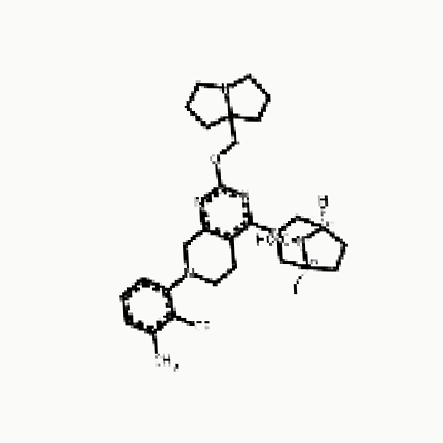 Cc1cccc(N2CCc3c(nc(OCC45CCCN4CCC5)nc3N3C[C@H]4CC[C@@H](C3)N4C(=O)O)C2)c1C(F)(F)F